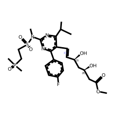 COC(=O)C[C@H](O)C[C@H](O)/C=C/c1c(-c2ccc(F)cc2)nc(N(C)S(=O)(=O)CCP(C)(C)=O)nc1C(C)C